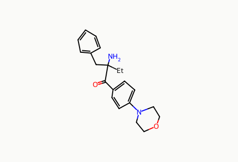 CCC(N)(Cc1ccccc1)C(=O)c1ccc(N2CCOCC2)cc1